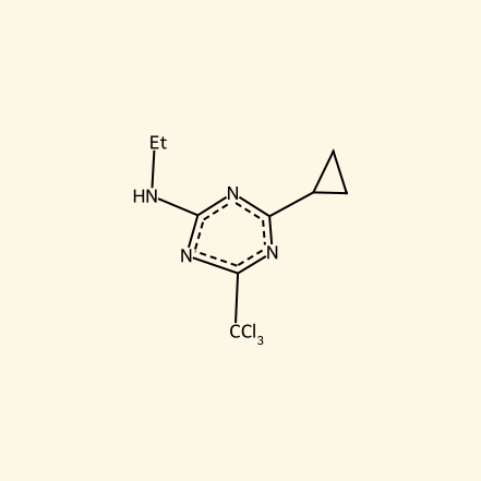 CCNc1nc(C2CC2)nc(C(Cl)(Cl)Cl)n1